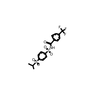 CC(C)S(=O)(=O)c1ccc(S(=O)(=O)NC(=O)c2ccc(C(F)(F)F)cc2)cc1